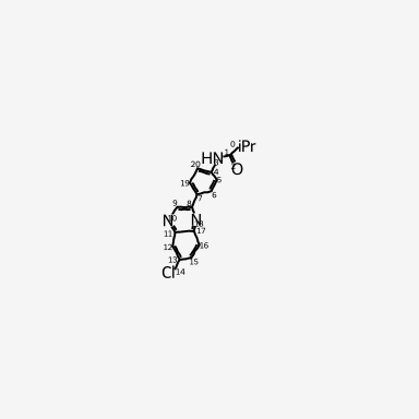 CC(C)C(=O)Nc1ccc(-c2cnc3cc(Cl)ccc3n2)cc1